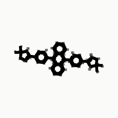 CC1(C)CN=C(c2ccc(-c3c4ccccc4c(-c4ccc(C5=NCC(C)(C)O5)cn4)c4ccccc34)nc2)O1